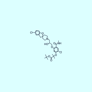 CNC(=O)c1cc(Cl)c(OC(C)(C)C(=O)OC(C)(C)C)cc1OC[C@@H](O)CN1CCC2(CC1)Cc1cc(Cl)ccc1O2